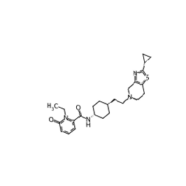 CCn1c(C(=O)N[C@H]2CC[C@H](CCN3CCc4sc(C5CC5)nc4C3)CC2)cccc1=O